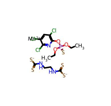 CCOP(=S)(OCC)Oc1nc(Cl)c(Cl)cc1Cl.S=C([S-])NCCNC(=S)[S-].[Mn+2]